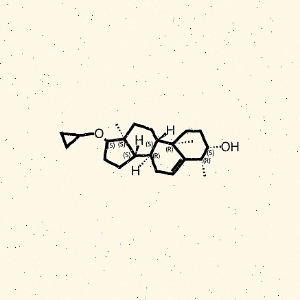 C[C@@H]1C2=CC[C@H]3[C@@H]4CC[C@H](OC5CC5)[C@@]4(C)CC[C@@H]3[C@@]2(C)CC[C@@H]1O